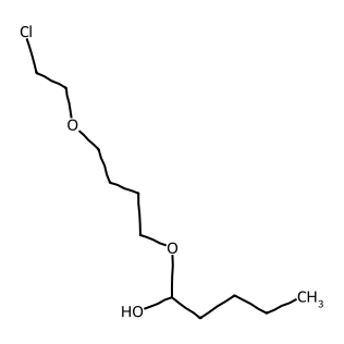 CCCCC(O)OCCCCOCCCl